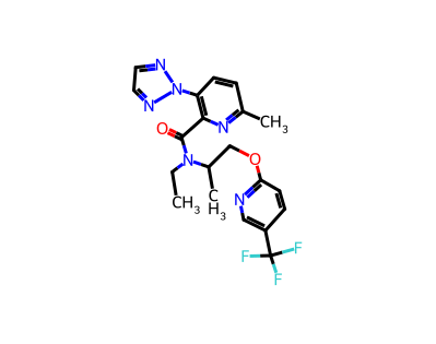 CCN(C(=O)c1nc(C)ccc1-n1nccn1)C(C)COc1ccc(C(F)(F)F)cn1